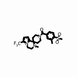 Cc1cc(C(=O)N2CCC3(CC2)c2ccc(C(F)(F)F)n2CCN3C)ccc1S(C)(=O)=O